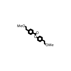 COCCc1ccc(OC(=O)c2ccc(CCOC)cc2)cc1